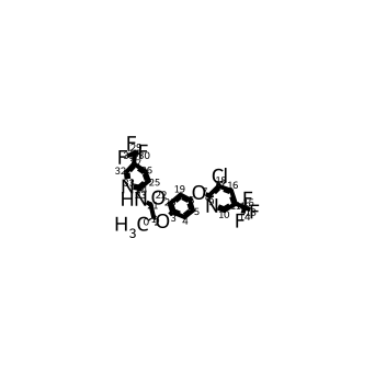 C[C@@H](Oc1ccc(Oc2ncc(C(F)(F)F)cc2Cl)cc1)C(=O)Nc1ccc(C(F)(F)F)cn1